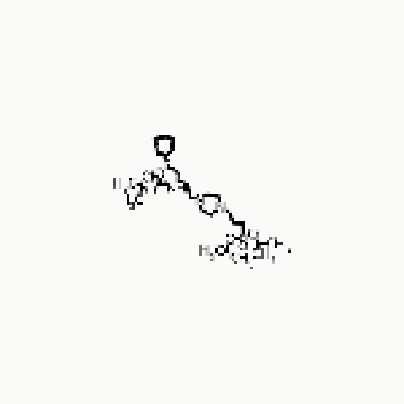 CC(C)OP(=O)(CCCN1CCN(CCC(CSc2ccccc2)NC(=O)OC(C)(C)C)CC1)OC(C)C